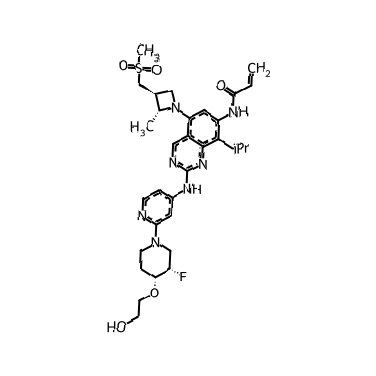 C=CC(=O)Nc1cc(N2C[C@H](CS(C)(=O)=O)[C@H]2C)c2cnc(Nc3ccnc(N4CC[C@@H](OCCO)[C@@H](F)C4)c3)nc2c1C(C)C